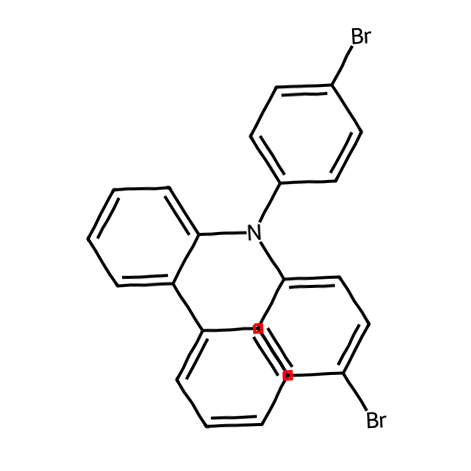 Brc1ccc(N(c2ccc(Br)cc2)c2ccccc2-c2ccccc2)cc1